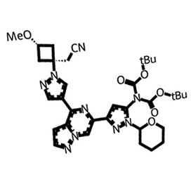 CO[C@H]1C[C@](CC#N)(n2cc(-c3nc(-c4cc(N(C(=O)OC(C)(C)C)C(=O)OC(C)(C)C)n(C5CCCCO5)n4)cn4nccc34)cn2)C1